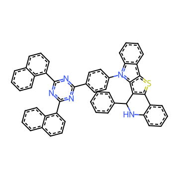 c1ccc(C2Nc3ccccc3-c3sc4c5ccccc5n(-c5ccc(-c6nc(-c7cccc8ccccc78)nc(-c7cccc8ccccc78)n6)cc5)c4c32)cc1